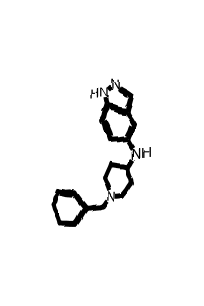 C1=CC(CN2CCC(Nc3ccc4[nH]ncc4c3)CC2)CCC1